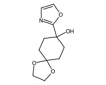 OC1(c2ncco2)CCC2(CC1)OCCO2